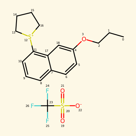 CCCOc1ccc2cccc([S+]3CCCC3)c2c1.O=S(=O)([O-])C(F)(F)F